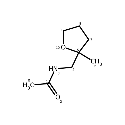 CC(=O)NCC1(C)CCCO1